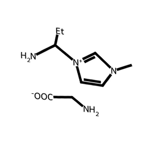 CCC(N)[n+]1ccn(C)c1.NCC(=O)[O-]